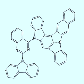 c1ccc2cc3c(cc2c1)c1c2c4ccccc4n(-c4nc(-n5c6ccccc6c6ccccc65)nc5ccccc45)c2cc2c4ccccc4n3c21